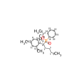 CCCCC(c1c(C)cc(C)cc1C)P(=O)(OCC)c1ccccc1